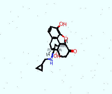 O=C1CC[C@@]2(O)[C@H]3Cc4ccc(O)c5c4[C@@]2(CCC3NCC2CC2)[C@H]1O5